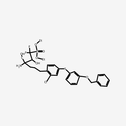 CCOP(=O)(OCC)C(F)(F)C(O)C(N)(CO)CCCc1ccc(Sc2cccc(OCc3ccccc3)c2)cc1Cl